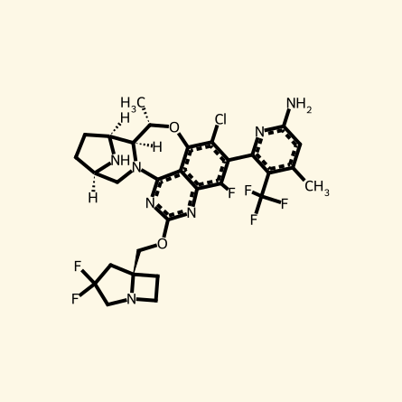 Cc1cc(N)nc(-c2c(Cl)c3c4c(nc(OC[C@@]56CCN5CC(F)(F)C6)nc4c2F)N2C[C@H]4CC[C@H](N4)[C@H]2[C@H](C)O3)c1C(F)(F)F